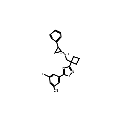 N#Cc1cc(F)cc(-c2nc(C3(CN[C@H]4CC4c4ccccc4)CCC3)no2)c1